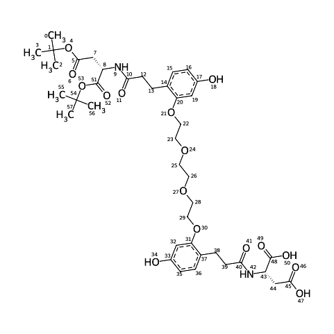 CC(C)(C)OC(=O)C[C@H](NC(=O)CCc1ccc(O)cc1OCCOCCOCCOc1cc(O)ccc1CCC(=O)N[C@@H](CC(=O)O)C(=O)O)C(=O)OC(C)(C)C